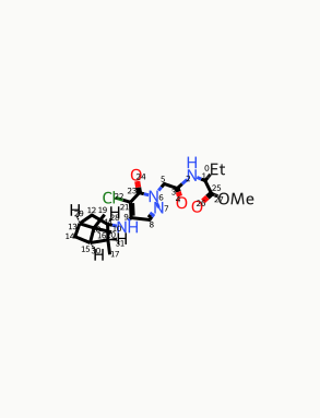 CCC(NC(=O)Cn1ncc(N[C@@H]2C[C@@H]3C[C@H]([C@H]2C)C3(C)C)c(Cl)c1=O)C(=O)OC